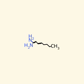 CCCCC=CC=C(N)N